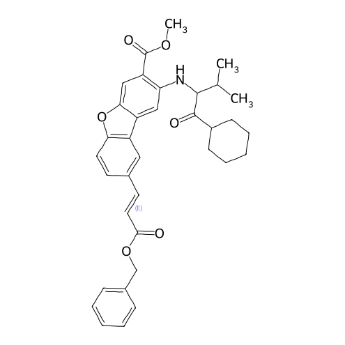 COC(=O)c1cc2oc3ccc(/C=C/C(=O)OCc4ccccc4)cc3c2cc1NC(C(=O)C1CCCCC1)C(C)C